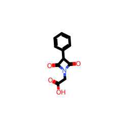 O=C(O)CN1C(=O)C(c2ccccc2)C1=O